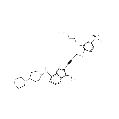 COCCOc1cc(S(C)(=O)=O)ccc1NCC#Cc1sc2c(NC3CCC(N4CCOCC4)CC3)cccc2c1CC(F)(F)F